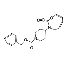 O=C=C1OC=CC=CCN1C1CCN(C(=O)OCc2ccccc2)CC1